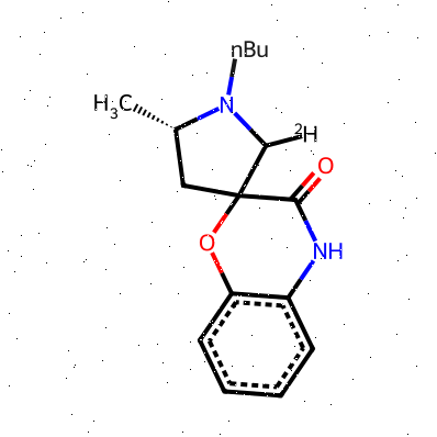 [2H]C1N(CCCC)[C@@H](C)CC12Oc1ccccc1NC2=O